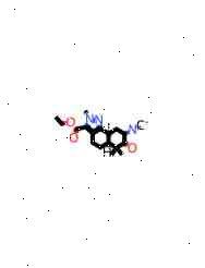 [C-]#[N+]C1C[C@]2(C)c3nn(C)c(C(=O)OCC)c3CC[C@H]2C(C)(C)C1=O